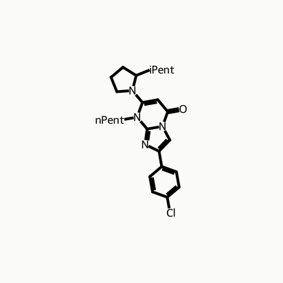 CCCCCn1c(N2CCCC2C(C)CCC)cc(=O)n2cc(-c3ccc(Cl)cc3)nc12